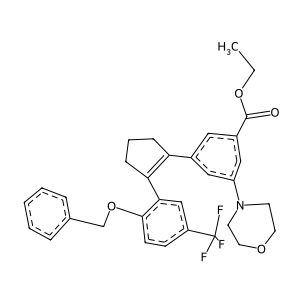 CCOC(=O)c1cc(C2=C(c3cc(C(F)(F)F)ccc3OCc3ccccc3)CCC2)cc(N2CCOCC2)c1